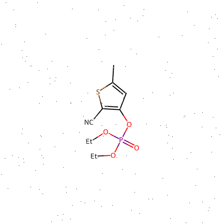 CCOP(=O)(OCC)Oc1cc(C)sc1C#N